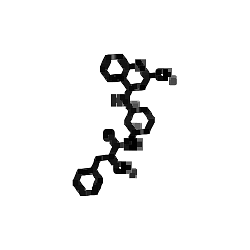 C=C(Cc1ccccc1)C(=O)N[C@@H]1CCC[C@H](Nc2cc(C(F)(F)F)nc3ccccc23)C1